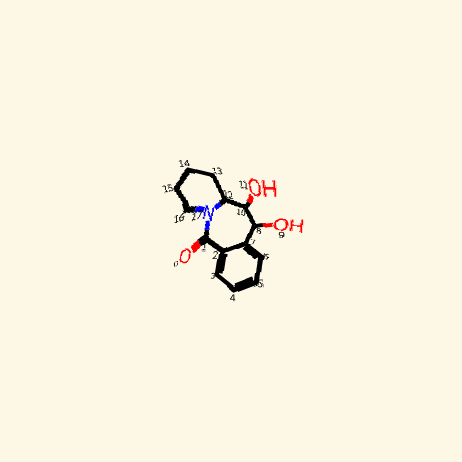 O=C1c2ccccc2C(O)C(O)C2CCCCN12